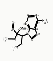 COC(CC(F)(F)F)(P=O)C(CC(F)(F)F)n1cnc2c(N)ncnc21